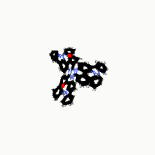 c1ccc(-n2c3ccccc3c3cccc(-c4ccccc4-c4nc(-c5ccccc5-c5cccc6c7ccccc7n(-c7ccccc7)c56)nc(-c5ccccc5-c5cccc6c7ccccc7n(-c7ccccc7)c56)n4)c32)cc1